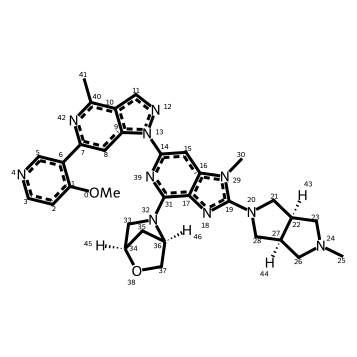 COc1ccncc1-c1cc2c(cnn2-c2cc3c(nc(N4C[C@H]5CN(C)C[C@H]5C4)n3C)c(N3C[C@H]4C[C@@H]3CO4)n2)c(C)n1